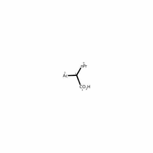 [CH2]CCC(C(C)=O)C(=O)O